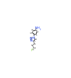 Nc1ccc(-n2cc(CCCF)nn2)cc1